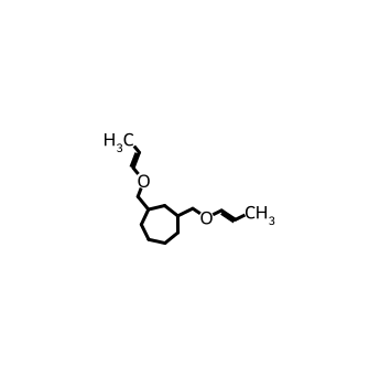 CC=COCC1CCCCC(COC=CC)C1